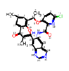 Cc1cc([C@@H](C)Oc2ccc(Cl)nc2C(N)=O)c2oc(-c3ccc4cncnc4c3)c(C)c(=O)c2c1